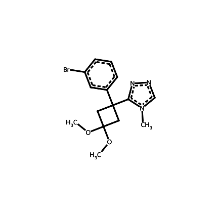 COC1(OC)CC(c2cccc(Br)c2)(c2nncn2C)C1